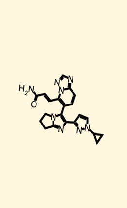 NC(=O)/C=C/c1c(-c2c(-c3ccn(C4CC4)n3)nc3n2CCC3)ccc2ncnn12